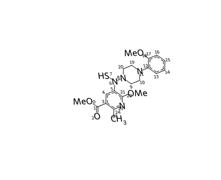 COC(=O)c1cc(N(S)N2CCN(c3ccccc3OC)CC2)c(OC)nc1C